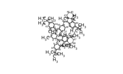 Cc1cc2c3c(c1)N(c1ccc(C(C)(C)C)cc1C)c1cc4c(cc1B3c1ccc(CC3c5ccc(C(C)(C)C)cc5C5(C)CCCCC35C)cc1N2c1ccc(C(C)(C)C)cc1C)C(C)(C)CCC4(C)C